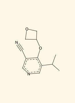 CC(C)c1cncc(C#N)c1OC1COC1